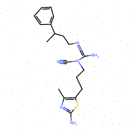 Cc1nc(N)sc1CCCN(C#N)C(N)=NCCC(C)c1ccccc1